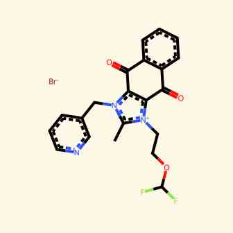 Cc1n(Cc2cccnc2)c2c([n+]1CCOC(F)F)C(=O)c1ccccc1C2=O.[Br-]